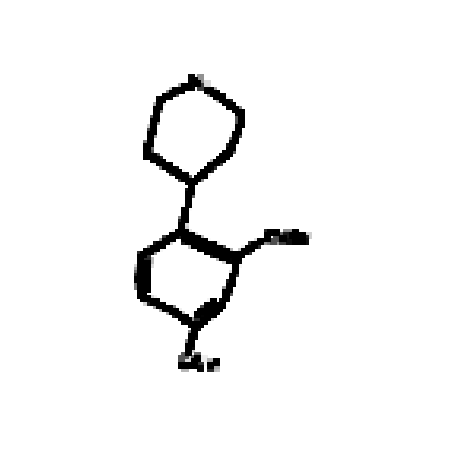 COc1ccc(C2CC[N]CC2)c(OC)c1